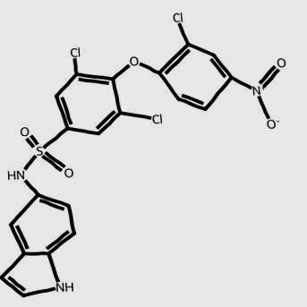 O=[N+]([O-])c1ccc(Oc2c(Cl)cc(S(=O)(=O)Nc3ccc4[nH]ccc4c3)cc2Cl)c(Cl)c1